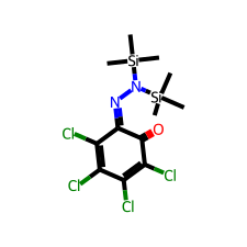 C[Si](C)(C)N(N=C1C(=O)C(Cl)=C(Cl)C(Cl)=C1Cl)[Si](C)(C)C